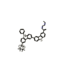 C=C(/C=C\C=C/C)c1ccc2sc3ccc(-c4ccc5c(c4)c4cc(B6OC(C)(C)C(C)(C)O6)ccc4n5-c4ccccc4)cc3c2c1